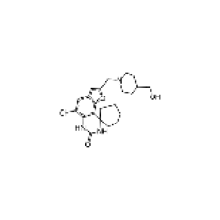 O=C1Nc2c(Cl)cc3cc(CN4CCC(CO)CC4)oc3c2C2(CCCCC2)N1